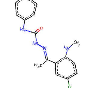 CNc1ccc(Cl)cc1/C(C)=N/NC(=O)Nc1ccccc1